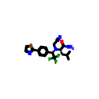 CC(C)C[C@@H](C(N)=O)N(CC#N)[C@@H](c1ccc(-c2nccs2)cc1)C(F)(F)F